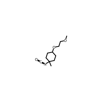 COCCOC1CCC(C)(N=C=O)CC1